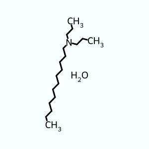 CCCCCCCCCCCCN(CCC)CCC.O